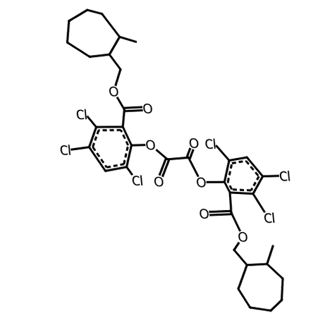 CC1CCCCCC1COC(=O)c1c(Cl)c(Cl)cc(Cl)c1OC(=O)C(=O)Oc1c(Cl)cc(Cl)c(Cl)c1C(=O)OCC1CCCCCC1C